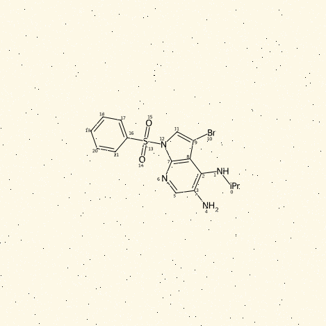 CC(C)Nc1c(N)cnc2c1c(Br)cn2S(=O)(=O)c1ccccc1